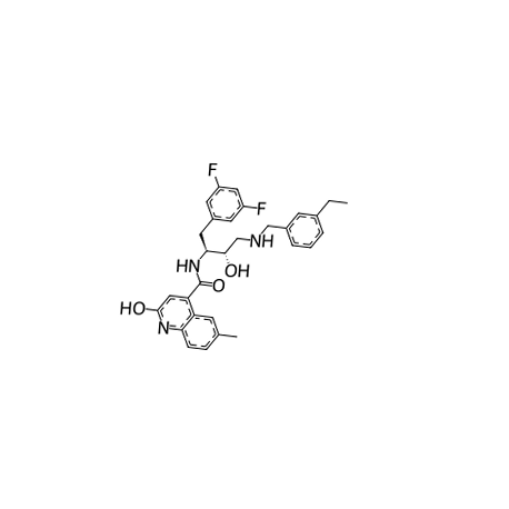 CCc1cccc(CNC[C@H](O)[C@H](Cc2cc(F)cc(F)c2)NC(=O)c2cc(O)nc3ccc(C)cc23)c1